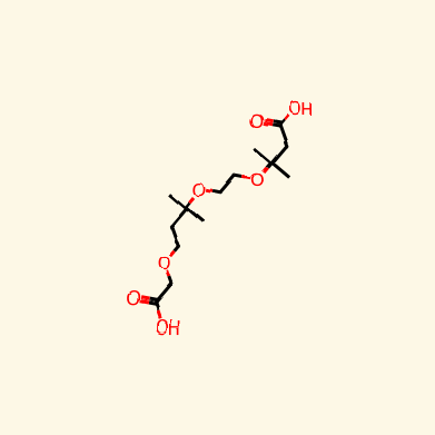 CC(C)(CCOCC(=O)O)OCCOC(C)(C)CC(=O)O